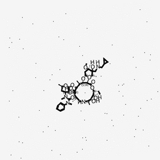 CC[C@H]1OC(=O)[C@H](C)[C@@H](O[C@H]2C[C@@](C)(OC)[C@](O)(CNCC3CC3)[C@H](C)O2)[C@H](C)[C@@H](O[C@@H]2O[C@H](C)C[C@H](N(C)C(=O)N(C)c3ccccc3)[C@H]2O)[C@](C)(O)C[C@@H](C)CN[C@H](C)[C@@H](O)[C@]1(C)O